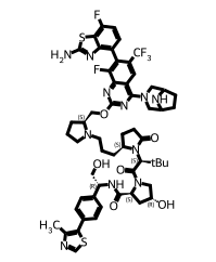 Cc1ncsc1-c1ccc([C@H](CO)NC(=O)[C@@H]2C[C@@H](O)CN2C(=O)[C@@H](N2C(=O)CC[C@@H]2CCCN2CCC[C@H]2COc2nc(N3CC4CCC(C3)N4)c3cc(C(F)(F)F)c(-c4ccc(F)c5sc(N)nc45)c(F)c3n2)C(C)(C)C)cc1